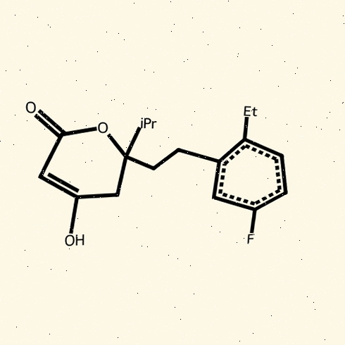 CCc1ccc(F)cc1CCC1(C(C)C)CC(O)=CC(=O)O1